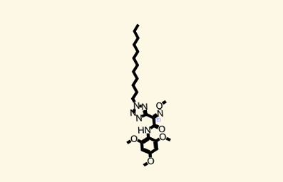 CCCCCCCCCCCCn1nnc(/C(=N\OC)C(=O)Nc2c(OC)cc(OC)cc2OC)n1